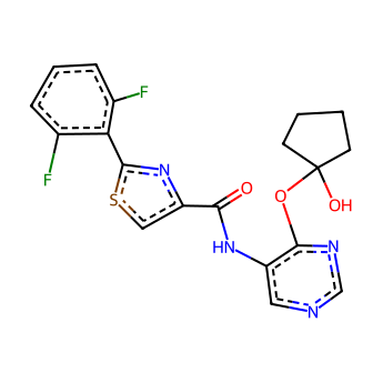 O=C(Nc1cncnc1OC1(O)CCCC1)c1csc(-c2c(F)cccc2F)n1